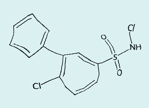 O=S(=O)(NCl)c1ccc(Cl)c(-c2ccccc2)c1